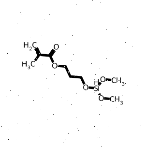 C=C(C)C(=O)OCCCO[SiH](OC)OC